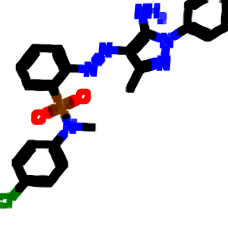 Cc1nn(-c2ccccc2)c(N)c1/N=N/c1ccccc1S(=O)(=O)N(C)c1ccc(Cl)cc1